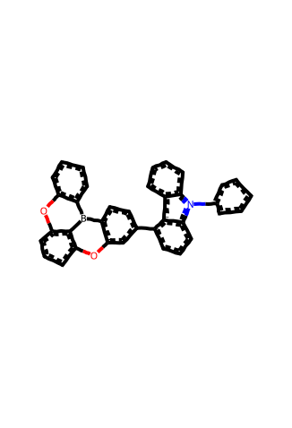 c1ccc(-n2c3ccccc3c3c(-c4ccc5c(c4)Oc4cccc6c4B5c4ccccc4O6)cccc32)cc1